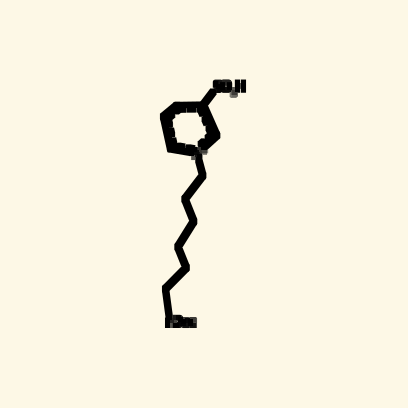 CCCCCCCCCCCCCCCC[n+]1cccc(S(=O)(=O)O)c1